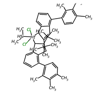 Cc1ccc(-c2cccc3c2C=C(C(C)(C)C)[CH]3[Hf]([Cl])([Cl])([CH]2C(C(C)(C)C)=Cc3c(-c4ccc(C)c(C)c4C)cccc32)[SiH](C)C)c(C)c1C